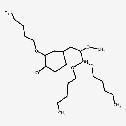 CCCCCOC1CC(CC(OC)[SiH](OCCCCC)OCCCCC)CCC1O